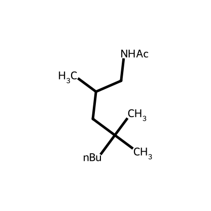 CCCCC(C)(C)CC(C)CNC(C)=O